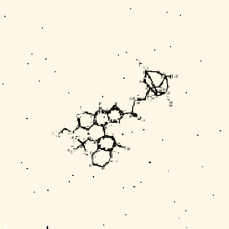 CCOC(=O)[C@@H](OC(C)(C)C)c1c(C)nc2cc(C(=O)NCC34C[C@@H]5C[C@H](C3)C(O)[C@@H](C5)C4)nn2c1-c1cc(F)c2c(c1C)CCCO2